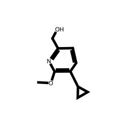 COc1nc(CO)ccc1C1CC1